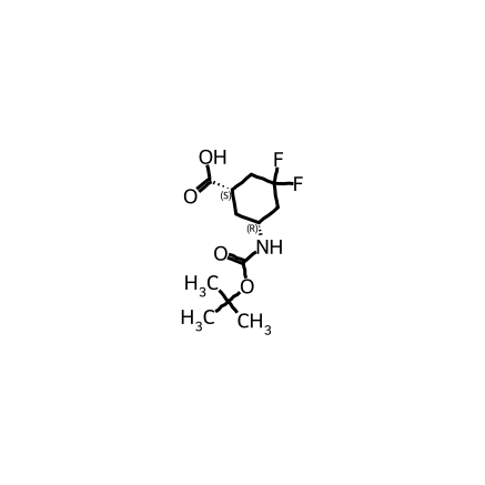 CC(C)(C)OC(=O)N[C@@H]1C[C@H](C(=O)O)CC(F)(F)C1